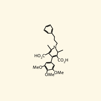 COc1cc(C2=C(C(=O)O)C(C)N(CCCc3ccccc3)C(C)=C2C(=O)O)cc(OC)c1OC